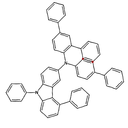 c1ccc(-c2ccc(N(c3ccc4c(c3)c3c(-c5ccccc5)cccc3n4-c3ccccc3)c3ccc(-c4ccccc4)cc3-c3ccccc3)cc2)cc1